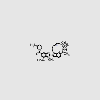 COc1cc(C(=O)N2CCC[C@@H](N)C2)cc2nc(-c3cc4ccc5nc4n3CCC/C=C/CC(C)(C)C(=O)N[C@@H]5C)n(C)c12